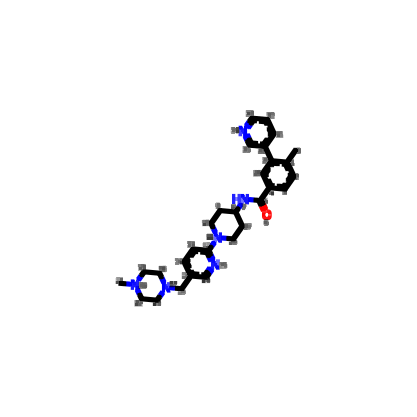 Cc1ccc(C(=O)NC2CCN(c3ccc(CN4CCN(C)CC4)cn3)CC2)cc1-c1cccnc1